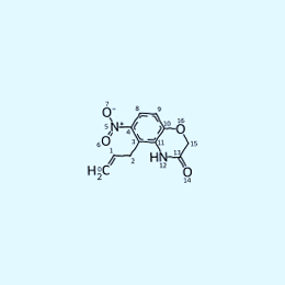 C=CCc1c([N+](=O)[O-])ccc2c1NC(=O)CO2